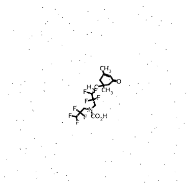 CC1=CC(=O)CC(C)(C)C1.O=C(O)N(CC(F)(F)C(F)F)CC(F)(F)C(F)F